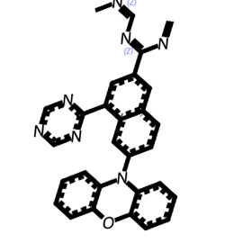 C=N/C(=N\C=N/C)c1cc(-c2ncncn2)c2cc(N3c4ccccc4Oc4ccccc43)ccc2c1